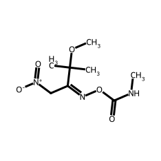 CNC(=O)ON=C(C[N+](=O)[O-])C(C)(C)OC